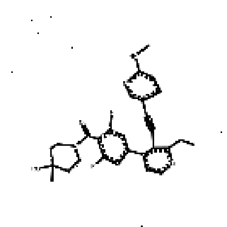 CCc1ncnc(-c2cc(F)c(C(=O)N3CCC(C)(O)CC3)c(F)c2)c1C#Cc1ccc(NC)nc1